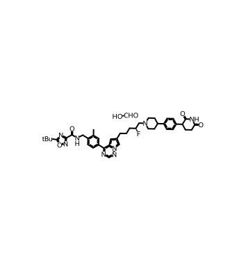 Cc1cc(-c2ncnn3cc(CCC[C@H](F)CN4CCC(c5ccc(C6CCC(=O)NC6=O)cc5)CC4)cc23)ccc1CNC(=O)c1noc(C(C)(C)C)n1.O=CO